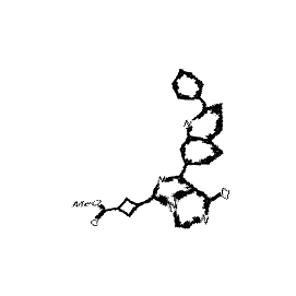 COC(=O)C1CC(c2nc(-c3ccc4ccc(-c5ccccc5)nc4c3)c3c(Cl)nccn23)C1